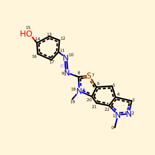 Cn1ncc2cc3sc(/N=N/c4ccc(O)cc4)[n+](C)c3cc21